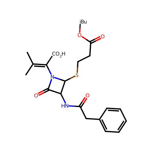 CCC(C)OC(=O)CCSC1C(NC(=O)Cc2ccccc2)C(=O)N1C(C(=O)O)=C(C)C